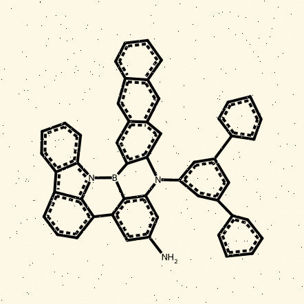 Nc1cc2c3c(c1)N(c1cc(-c4ccccc4)cc(-c4ccccc4)c1)c1cc4cc5ccccc5cc4cc1B3n1c3ccccc3c3cccc-2c31